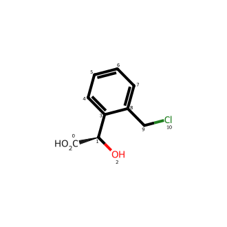 O=C(O)[C@H](O)c1ccccc1CCl